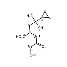 CC(C)(C)OC(=O)NC(CC(C)(C)C1CC1)C(=O)O